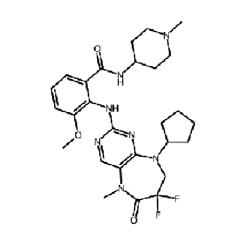 COc1cccc(C(=O)NC2CCN(C)CC2)c1Nc1ncc2c(n1)N(C1CCCC1)CC(F)(F)C(=O)N2C